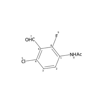 CC(=O)Nc1ccc(Cl)c(C=O)c1F